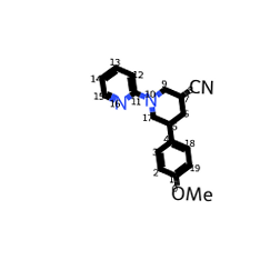 COc1ccc(C2CC(C#N)CN(c3ccccn3)C2)cc1